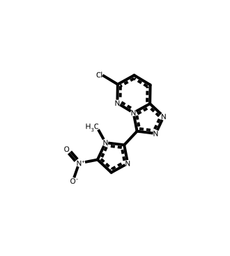 Cn1c([N+](=O)[O-])cnc1-c1nnc2ccc(Cl)nn12